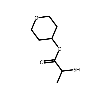 CC(S)C(=O)OC1CCOCC1